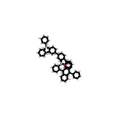 c1ccc(-c2c3ccccc3c(-c3ccccc3-n3c4ccccc4c4ccc(-c5ccc6c(c5)c5ccccc5n6-c5ccccc5)cc43)c3ccccc23)cc1